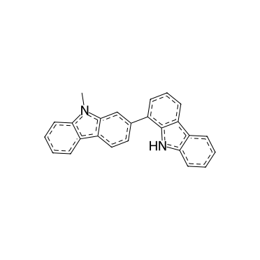 Cn1c2ccccc2c2ccc(-c3cccc4c3[nH]c3ccccc34)cc21